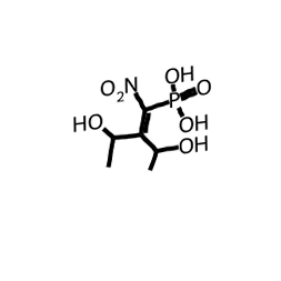 CC(O)C(=C([N+](=O)[O-])P(=O)(O)O)C(C)O